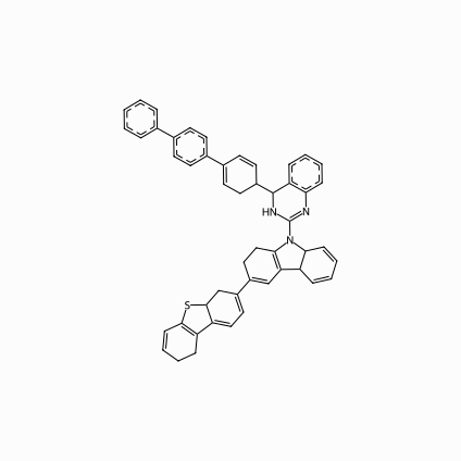 C1=CC2C3=C(CCC(C4=CC=C5C6=C(C=CCC6)SC5C4)=C3)N(C3=Nc4ccccc4C(C4C=CC(c5ccc(-c6ccccc6)cc5)=CC4)N3)C2C=C1